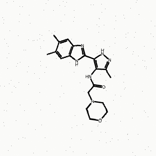 Cc1cc2nc(-c3[nH]nc(C)c3NC(=O)CN3CCOCC3)[nH]c2cc1C